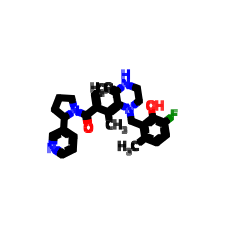 C=C1NCCN(Cc2c(C)ccc(F)c2O)/C1=C(C)/C(=C\C)C(=O)N1CCCC1c1cccnc1